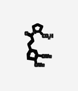 COc1ccc(C=CC(=O)N2CCC[C@H]2C(=O)O)cc1OC